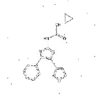 C1CC1.O=C(O)Nc1nc(-c2ccccc2)c(-c2ccoc2)s1